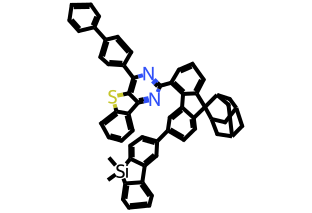 C[Si]1(C)c2ccccc2-c2cc(-c3ccc4c(c3)-c3c(-c5nc(-c6ccc(-c7ccccc7)cc6)c6sc7ccccc7c6n5)cccc3C43C4CC5CC(C4)CC3C5)ccc21